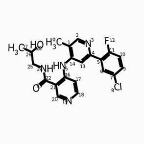 Cc1cnc(-c2cc(Cl)ccc2F)cc1Nc1ccncc1C(=O)NCC(C)O